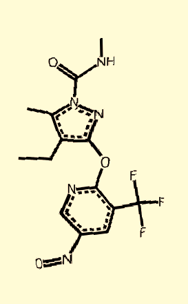 CCc1c(Oc2ncc(N=O)cc2C(F)(F)F)nn(C(=O)NC)c1C